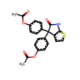 CC(=O)Oc1ccc(C2(c3ccc(OC(C)=O)cc3)C(=O)Nc3sccc32)cc1